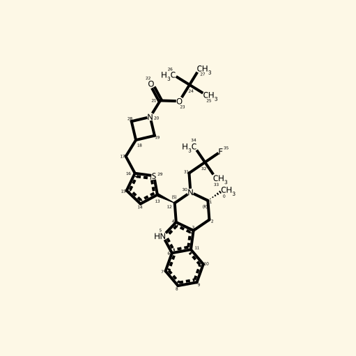 C[C@@H]1Cc2c([nH]c3ccccc23)[C@@H](c2ccc(CC3CN(C(=O)OC(C)(C)C)C3)s2)N1CC(C)(C)F